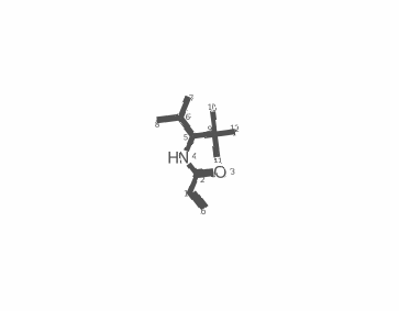 C=CC(=O)NC(C(C)C)C(C)(C)C